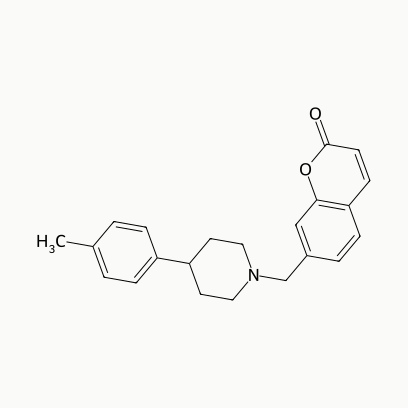 Cc1ccc(C2CCN(Cc3ccc4ccc(=O)oc4c3)CC2)cc1